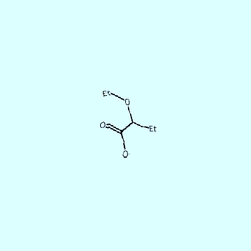 CCOC(CC)C([O])=O